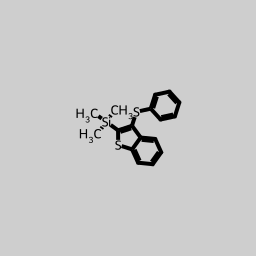 C[Si](C)(C)c1sc2ccccc2c1Sc1ccccc1